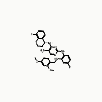 COc1ccc(CNc2cc(F)ccc2Nc2ncc(N)c(N[C@@H]3CCOc4c(F)cccc43)n2)c(OC)c1